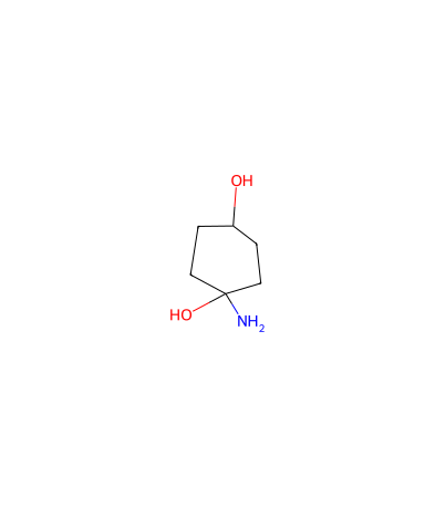 NC1(O)CCC(O)CC1